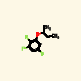 CCC(C)Oc1[c]c(F)cc(F)c1F